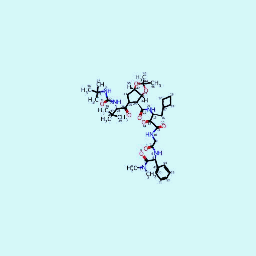 CN(C)C(=O)[C@@H](NC(=O)CNC(=O)C(=O)[C@H](CC1CCC1)NC(=O)[C@H]1C(C(=O)[C@@H](NC(=O)NC(C)(C)C)C(C)(C)C)C[C@@H]2OC(C)(C)O[C@@H]21)c1ccccc1